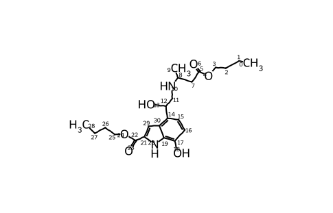 CCCCOC(=O)CC(C)NCC(O)c1ccc(O)c2[nH]c(C(=O)OCCCC)cc12